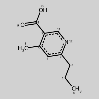 CCCc1cc(C)c(C(=O)O)cn1